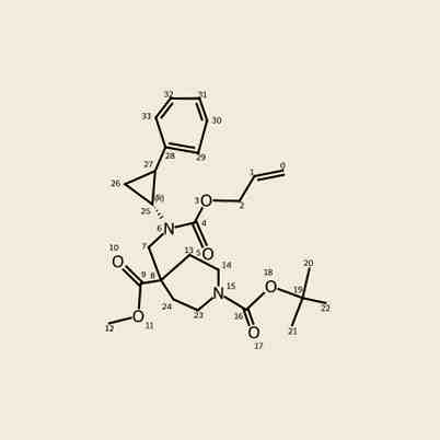 C=CCOC(=O)N(CC1(C(=O)OC)CCN(C(=O)OC(C)(C)C)CC1)[C@@H]1CC1c1ccccc1